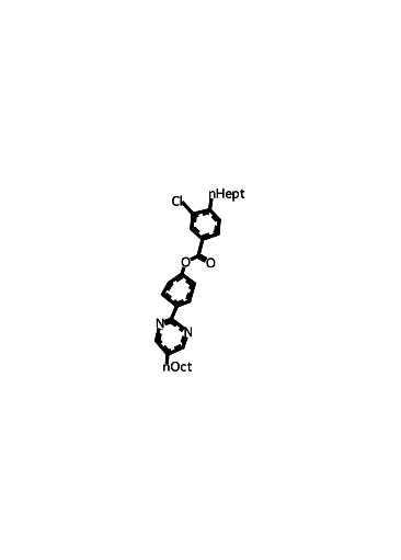 CCCCCCCCc1cnc(-c2ccc(OC(=O)c3ccc(CCCCCCC)c(Cl)c3)cc2)nc1